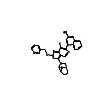 Oc1cc(-c2ncc3c(N4CC5CCC(C4)N5)nc(OCc4cccnc4)nc3c2F)c2ccccc2c1